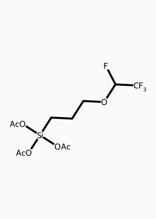 CC(=O)O[Si](CCCOC(F)C(F)(F)F)(OC(C)=O)OC(C)=O